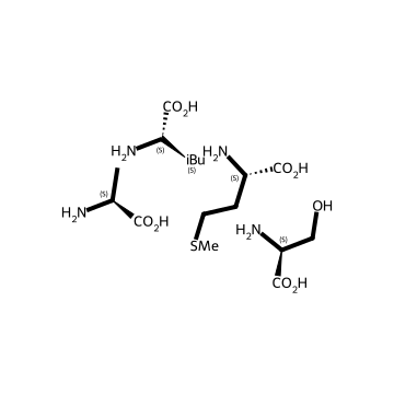 CC[C@H](C)[C@H](N)C(=O)O.CSCC[C@H](N)C(=O)O.C[C@H](N)C(=O)O.N[C@@H](CO)C(=O)O